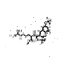 COC(=O)C(CCCNC(=N)N)NC(=O)C1=Cc2cc(OC(F)(F)F)cc(C)c2O[C@@H]1C(F)(F)F